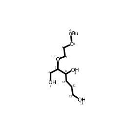 CCCCOCCOC(CO)C(O)CCCO